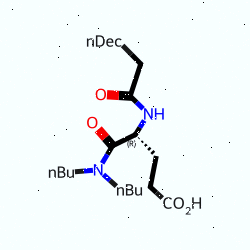 CCCCCCCCCCCC(=O)N[C@H](CCC(=O)O)C(=O)N(CCCC)CCCC